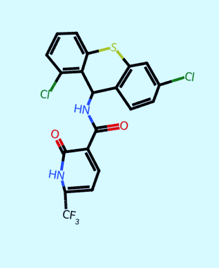 O=C(NC1c2ccc(Cl)cc2Sc2cccc(Cl)c21)c1ccc(C(F)(F)F)[nH]c1=O